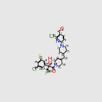 O=Cc1ccc(N2CCC(CC3CCN(C(=O)C(O)(c4cc(F)cc(Cl)c4)C(F)(F)F)CC3)CC2)nc1Cl